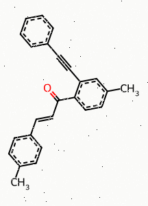 Cc1ccc(/C=C/C(=O)c2ccc(C)cc2C#Cc2ccccc2)cc1